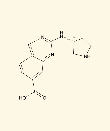 O=C(O)c1ccc2cnc(N[C@@H]3CCNC3)nc2c1